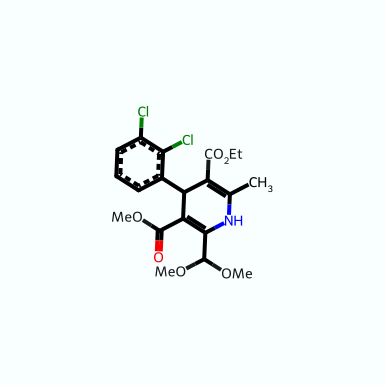 CCOC(=O)C1=C(C)NC(C(OC)OC)=C(C(=O)OC)C1c1cccc(Cl)c1Cl